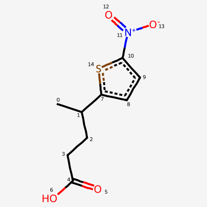 CC(CCC(=O)O)c1ccc([N+](=O)[O-])s1